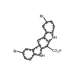 O=C(O)c1c2[nH]c3ccc(Br)cc3c2cc2c1[nH]c1ccc(Br)cc12